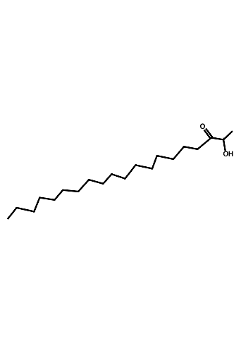 CCCCCCCCCCCCCCCCCC(=O)[C](C)O